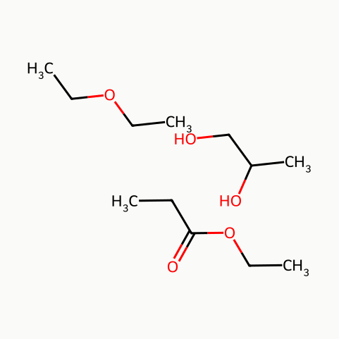 CC(O)CO.CCOC(=O)CC.CCOCC